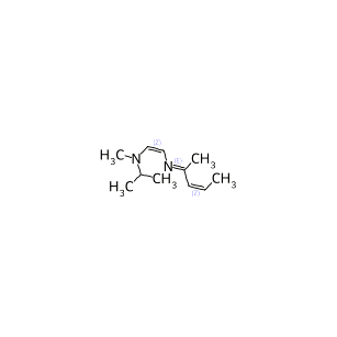 C\C=C/C(C)=N/C=C\N(C)C(C)C